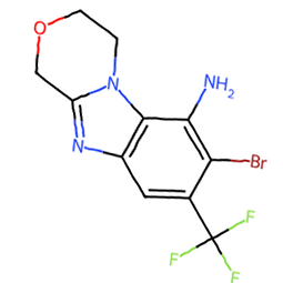 Nc1c(Br)c(C(F)(F)F)cc2nc3n(c12)CCOC3